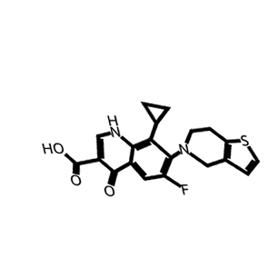 O=C(O)c1c[nH]c2c(C3CC3)c(N3CCc4sccc4C3)c(F)cc2c1=O